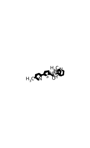 Cc1ccc(-c2ccc(C(=O)N[C@@H]3C4CCN(CC4)[C@H]3C)s2)nc1